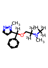 [2H]C(OCC([2H])([2H])N(C)C([2H])([2H])[2H])(c1ccccc1)c1ccnn1C